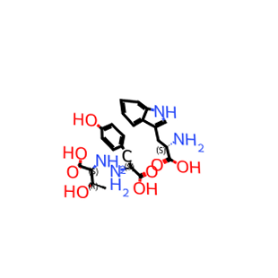 C[C@@H](O)[C@H](N)C(=O)O.N[C@@H](Cc1c[nH]c2ccccc12)C(=O)O.N[C@@H](Cc1ccc(O)cc1)C(=O)O